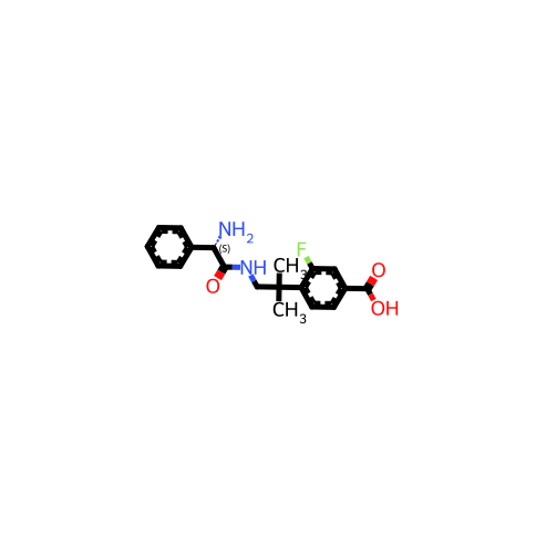 CC(C)(CNC(=O)[C@@H](N)c1ccccc1)c1ccc(C(=O)O)cc1F